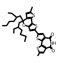 CCCCC(CC)CC1(CC(CC)CCCC)Oc2cc(-c3cc4c(=O)[nH]c(=O)c5cc(C)sc5c4s3)sc2-c2sc(C)cc21